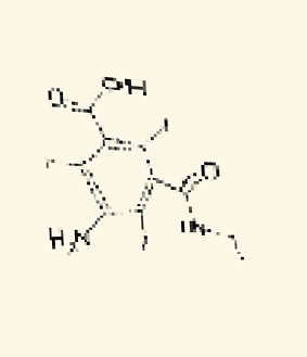 CCNC(=O)c1c(I)c(N)c(I)c(C(=O)O)c1I